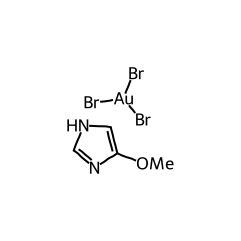 COc1c[nH]cn1.[Br][Au]([Br])[Br]